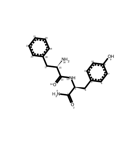 NC(=O)[C@H](Cc1ccc(O)cc1)NC(=O)[C@@H](N)Cc1ccccc1